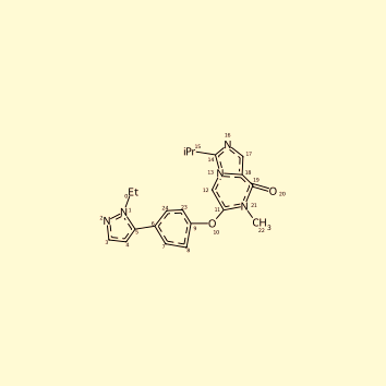 CCn1nccc1-c1ccc(Oc2cn3c(C(C)C)ncc3c(=O)n2C)cc1